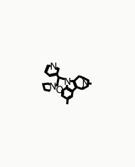 Cc1ccc2c(c1)c1c(n2CC(C(=O)N2CCCC2)c2cccnc2)CC2CCC1N2C